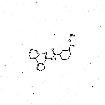 CC(C)(C)OC(=O)N1CCCC(C(=O)NC2=Nc3ccccc3C3=NCCN23)C1